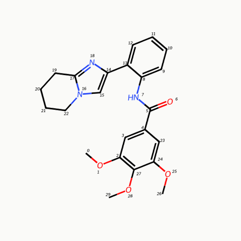 COc1cc(C(=O)Nc2ccccc2-c2cn3c(n2)CCCC3)cc(OC)c1OC